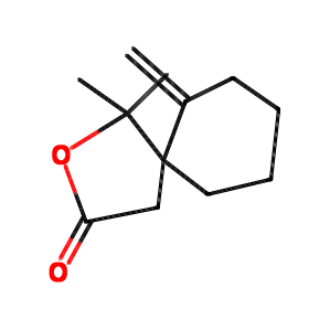 C=C1CCCCC12CC(=O)OC2(C)C